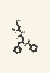 CSC(CCO)NC(=O)CC(Cc1ccccc1)SC(=O)c1ccccc1